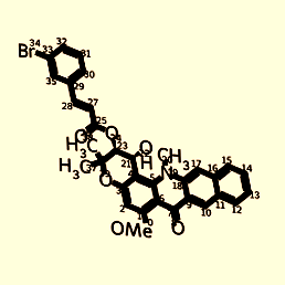 COc1cc2c(c3c1c(=O)c1cc4ccccc4cc1n3C)[C@H](O)[C@H](OC(=O)C=Cc1cccc(Br)c1)C(C)(C)O2